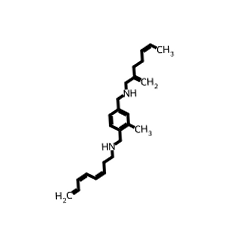 C=C/C=C\C=C/CCNCc1ccc(CNCC(=C)CC/C=C\C)cc1C